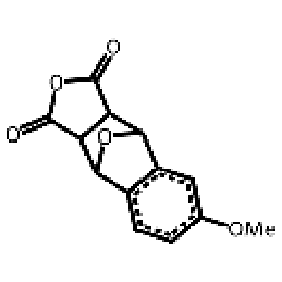 COc1ccc2c(c1)C1OC2C2C(=O)OC(=O)C12